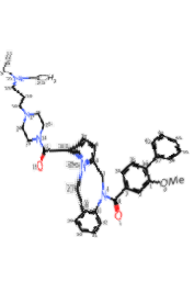 COc1cc(C(=O)N2Cc3ccc(C(=O)N4CCN(CCCN(C)C)CC4)n3Cc3ccccc32)ccc1-c1ccccc1